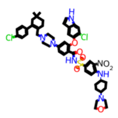 CC1(C)CCC(CN2CCN(c3ccc(C(=O)NS(=O)(=O)c4ccc(N[C@H]5CC[C@H](N6CCOCC6)CC5)c([N+](=O)[O-])c4)c(Oc4cc5cc[nH]c5cc4Cl)c3)CC2)=C(c2ccc(Cl)cc2)C1